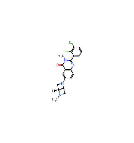 CN1CC2[C@H]1CN2c1ccc2nc(-c3cccc(Cl)c3F)n(C)c(=O)c2c1